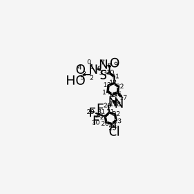 CN(CC(=O)O)C1=NC(=O)/C(=C/c2ccc3c(cnn3Cc3ccc(Cl)cc3C(F)(F)F)c2)S1